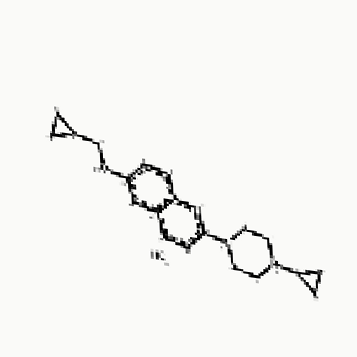 Cl.c1cc2nc(N3CCN(C4CC4)CC3)ccc2cc1OCC1CC1